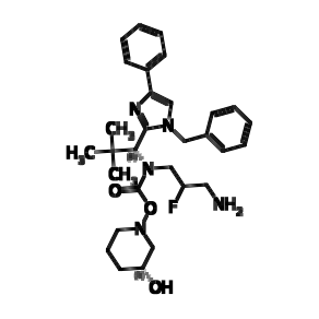 CC(C)(C)[C@H](c1nc(-c2ccccc2)cn1Cc1ccccc1)N(CC(F)CN)C(=O)ON1CCC[C@@H](O)C1